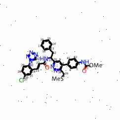 COC(=O)Nc1ccc(-c2cc(C(Cc3ccccc3)NC(=O)C=Cc3cc(Cl)ccc3-n3cnnn3)nnc2CSC)cc1